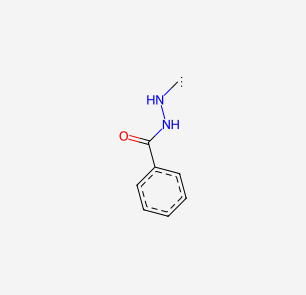 [C]NNC(=O)c1ccccc1